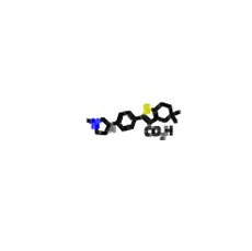 CN1CC[C@H](c2ccc(-c3sc4c(c3C(=O)O)CC(C)(C)CC4)cc2)C1